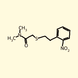 CN(C)C(=O)CSCCc1ccccc1[N+](=O)[O-]